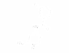 CCCCC1C[C@H](NC(=O)c2cccc(F)c2)CCN1